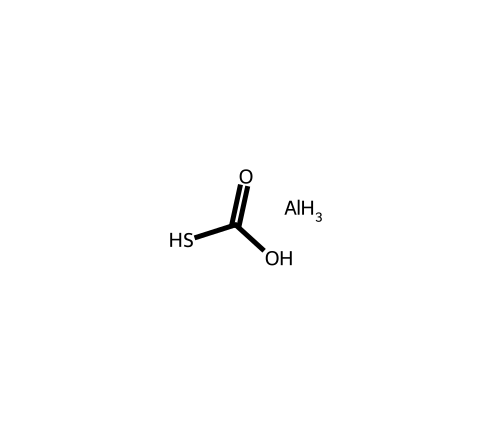 O=C(O)S.[AlH3]